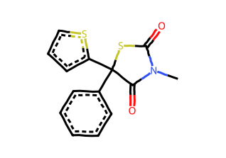 CN1C(=O)SC(c2ccccc2)(c2cccs2)C1=O